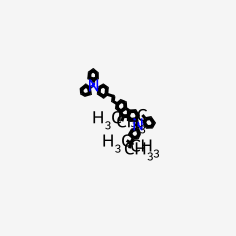 Cc1ccccc1N(c1ccc(C(C)(C)C)cc1)c1ccc2c(c1)C(C)(C)c1cc(/C=C/c3ccc(N(c4ccccc4)c4ccccc4)cc3)ccc1-2